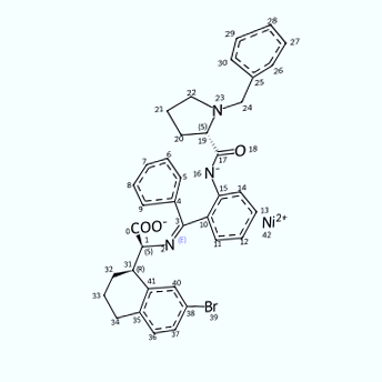 O=C([O-])[C@@H](/N=C(\c1ccccc1)c1ccccc1[N-]C(=O)[C@@H]1CCCN1Cc1ccccc1)[C@@H]1CCCc2ccc(Br)cc21.[Ni+2]